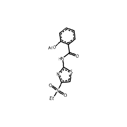 CCS(=O)(=O)c1csc(NC(=O)c2ccccc2OC(C)=O)n1